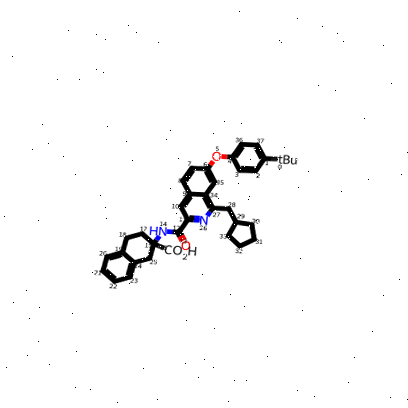 CC(C)(C)c1ccc(Oc2ccc3cc(C(=O)NC4(C(=O)O)CCc5ccccc5C4)nc(CC4CCCC4)c3c2)cc1